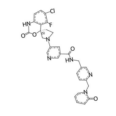 O=C1Nc2ccc(Cl)c(F)c2[C@]2(CCN(c3cncc(C(=O)NCc4ccc(Cn5ccccc5=O)nc4)c3)C2)O1